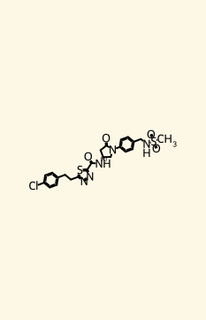 CS(=O)(=O)NCc1ccc(N2C[C@H](NC(=O)c3nnc(CCc4ccc(Cl)cc4)s3)CC2=O)cc1